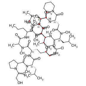 CCCC(NC(=O)C(C)N(C)C(=O)[C@H](CCCCN)NC(=O)[C@H](CC(C)C)N(C)C(=O)C1CCCN1C(=O)CO)C(=O)N(C)C(CC(C)C)C(=O)N(C)C(CC(C)C)C(=O)N[C@@H](CC(=O)N(C)[C@@H](CC(C)C)C(=O)N(C)C(Cc1cccc(Cl)c1)C(=O)N[C@H](C(=O)O)[C@@H](C)CC)C(=O)N1CCCCC1